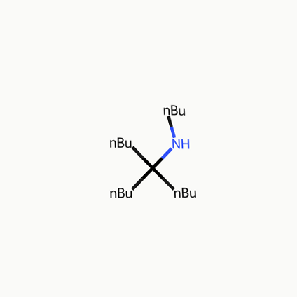 CCCCNC(CCCC)(CCCC)CCCC